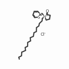 CCCCCCCCCCCCCCCCCC[N+]1(CN2C=CC=CS2)CCCC1=O.[Cl-]